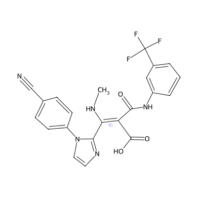 CN/C(=C(/C(=O)O)C(=O)Nc1cccc(C(F)(F)F)c1)c1nccn1-c1ccc(C#N)cc1